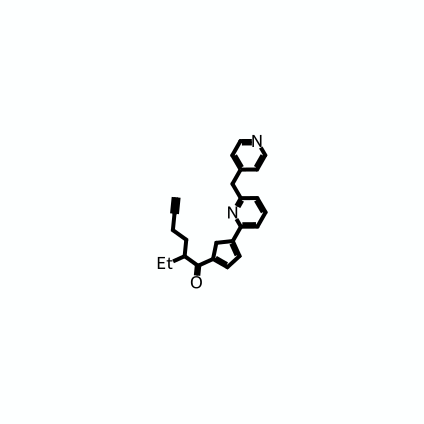 C#CCCC(CC)C(=O)C1=CC=C(c2cccc(Cc3ccncc3)n2)C1